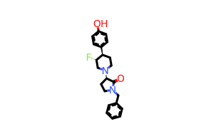 O=C1[C@@H](N2CC[C@H](c3ccc(O)cc3)[C@@H](F)C2)CCN1Cc1ccccc1